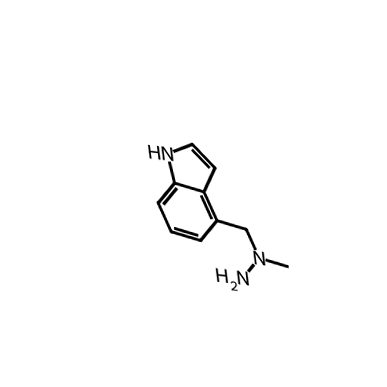 CN(N)Cc1cccc2[nH]ccc12